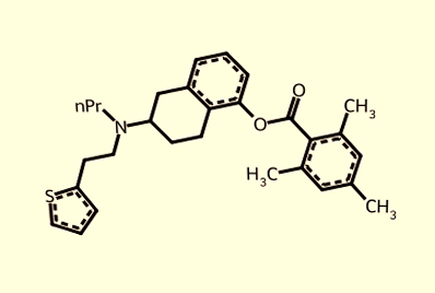 CCCN(CCc1cccs1)C1CCc2c(cccc2OC(=O)c2c(C)cc(C)cc2C)C1